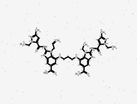 C=CCn1c(NC(=O)c2cc(C)nn2CC)nc2cc(C(=O)O)cc(OCCCOc3cc(C(N)=O)cc4nc(NC(=O)c5cc(C)nn5CC)n(CC)c34)c21